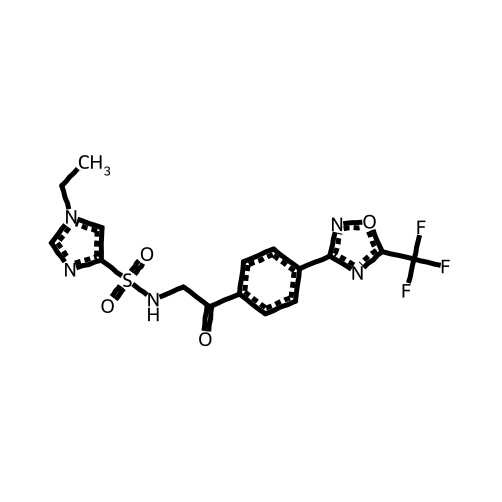 CCn1cnc(S(=O)(=O)NCC(=O)c2ccc(-c3noc(C(F)(F)F)n3)cc2)c1